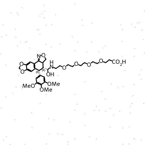 COc1cc([C@@H]2c3cc4c(cc3C3=NOCC3[C@@H]2C(O)NCCOCCOCCOCCOCCC(=O)O)OCO4)cc(OC)c1OC